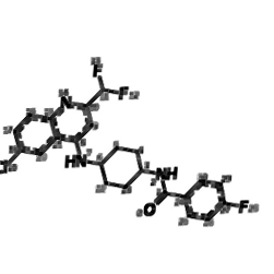 O=C(NC1CCC(Nc2cc(C(F)F)nc3ccc(Cl)cc23)CC1)c1ccc(F)cc1